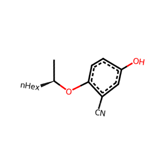 CCCCCC[C@@H](C)Oc1ccc(O)cc1C#N